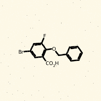 O=C(O)c1cc(Br)cc(F)c1OCc1ccccc1